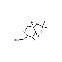 CCCCO[C@H]1OC[C@@H]2OC(C)(C)O[C@@H]2[C@H]1O